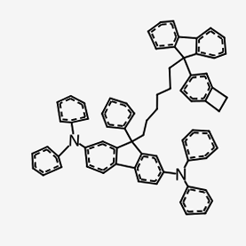 c1ccc(N(c2ccccc2)c2ccc3c(c2)C(CCCCCCC2(c4ccc5c(c4)CC5)c4ccccc4-c4ccccc42)(c2ccccc2)c2cc(N(c4ccccc4)c4ccccc4)ccc2-3)cc1